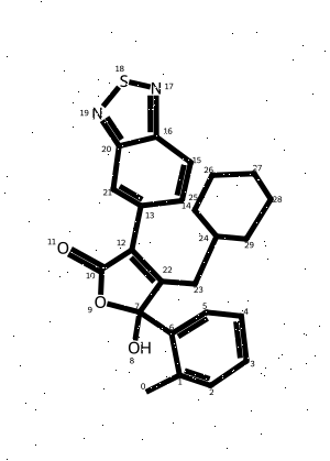 Cc1ccccc1C1(O)OC(=O)C(c2ccc3nsnc3c2)=C1CC1CCCCC1